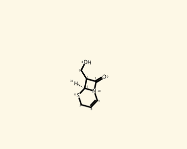 O=C1C(CO)[C@@H]2SCC=CN12